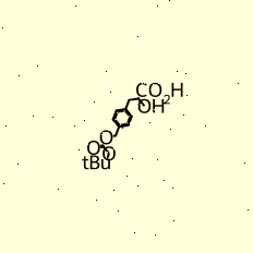 CC(C)(C)OC(=O)OCc1ccc(CC(O)C(=O)O)cc1